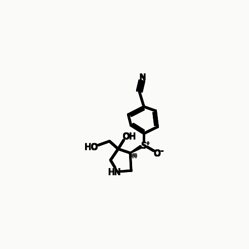 N#Cc1ccc([S+]([O-])[C@H]2CNCC2(O)CO)cc1